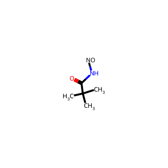 CC(C)(C)C(=O)NN=O